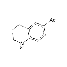 CC(=O)c1ccc2c(c1)CCCN2